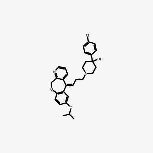 CC(C)Oc1ccc2c(c1)/C(=C/CCN1CCC(O)(c3ccc(Cl)cc3)CC1)c1cccnc1CO2